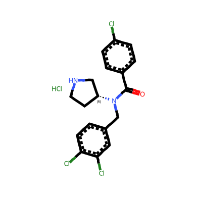 Cl.O=C(c1ccc(Cl)cc1)N(Cc1ccc(Cl)c(Cl)c1)[C@@H]1CCNC1